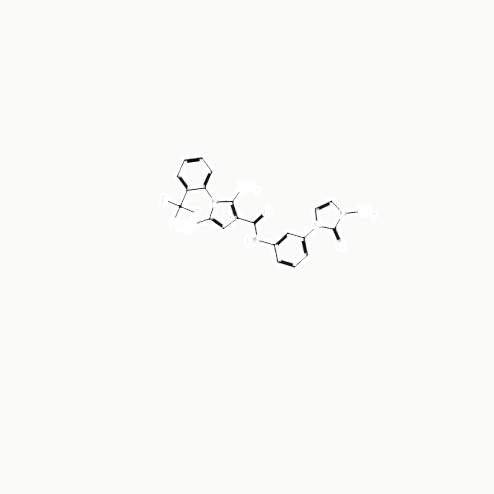 Cc1cc(C(=O)Nc2cccc(-n3ccn(C)c3=O)c2)c(C)n1-c1ccccc1C(F)(F)F